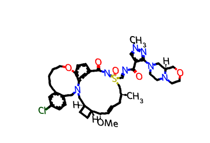 CO[C@H]1/C=C/C[C@H](C)CS(=O)(/C=N/C(=O)c2cn(C)nc2N2CCN3CCOC[C@@H]3C2)=NC(=O)c2ccc3c(c2)N(Cc2ccc(Cl)cc2CCCCO3)C[C@@H]2CC[C@H]21